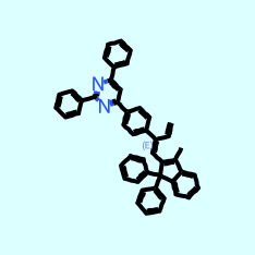 C=C/C(=C\C1=C(C)c2ccccc2C1(c1ccccc1)c1ccccc1)c1ccc(-c2cc(-c3ccccc3)nc(-c3ccccc3)n2)cc1